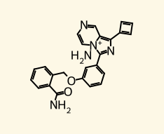 NC(=O)c1ccccc1COc1cccc(C2=NC(C3=CC=C3)=C3C=NC=C[N+]23N)c1